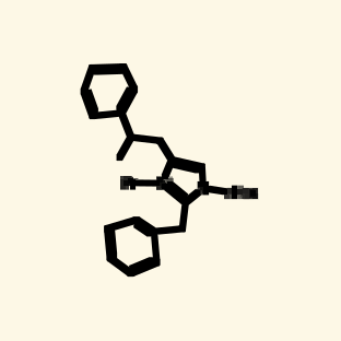 CCCCCCn1cc(CC(C)c2ccccc2)[n+](C(C)C)c1Cc1ccccc1